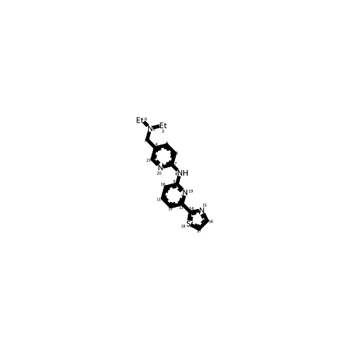 CCN(CC)Cc1ccc(Nc2cccc(-c3nccs3)n2)nc1